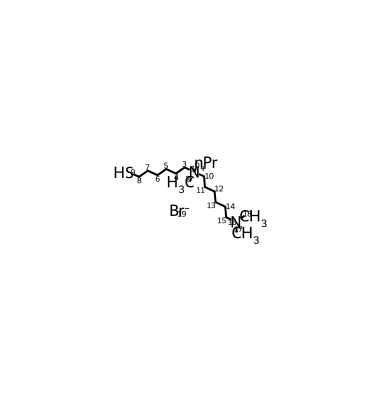 CCC[N+](C)(CCCCCCS)CCCCCCN(C)C.[Br-]